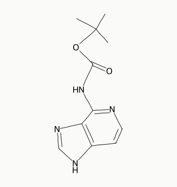 CC(C)(C)OC(=O)Nc1nccc2[nH]cnc12